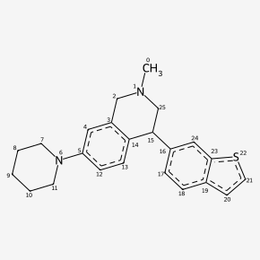 CN1Cc2cc(N3CCCCC3)ccc2C(c2ccc3ccsc3c2)C1